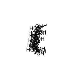 C#CC1O[C@@H](OC2[C@H](O[C@@H]3C(NC(C)=O)[C@H](O[C@@H]4C(O)[C@@H](O[C@H]5C(CO)O[C@@H](O[C@@H]6C(CO)O[C@@H](OCCCCCC)C(O)[C@H]6O)C(O)[C@H]5O)OC(CO)[C@@H]4O)OC(CO)[C@@H]3O)OC(CO)[C@H](O)[C@@H]2O)C(O)[C@@H](O)[C@@H]1O